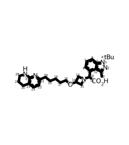 Cc1nn(C(C)(C)C)c2cccc(C(C(=O)O)N3CC(OCCCCCc4ccc5c(n4)NCCC5)C3)c12